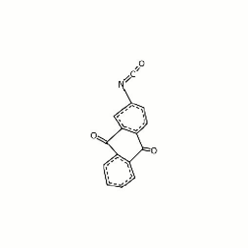 O=C=Nc1ccc2c(c1)C(=O)c1ccccc1C2=O